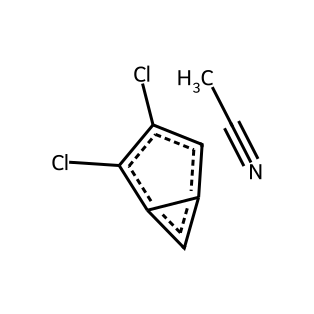 CC#N.Clc1cc2cc-2c1Cl